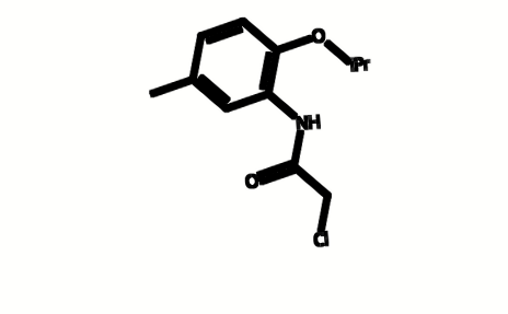 Cc1ccc(OC(C)C)c(NC(=O)CCl)c1